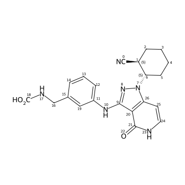 N#C[C@H]1CCCC[C@@H]1n1nc(Nc2cccc(CNC(=O)O)c2)c2c(=O)[nH]ccc21